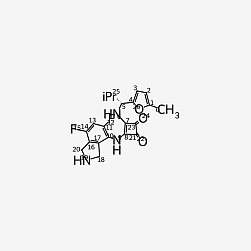 Cc1ccc([C@H](Nc2c(Nc3c(F)cc(F)c4c3CNC4)c(=O)c2=O)C(C)C)o1